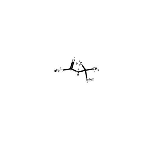 CCCCCCC(C)(C)NC(=O)CCCCC